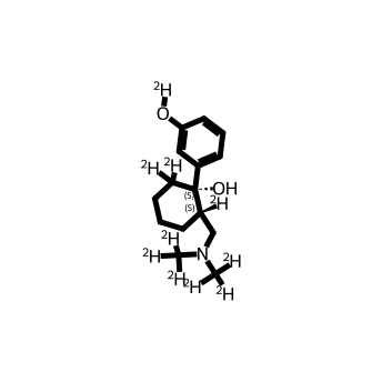 [2H]Oc1cccc([C@]2(O)C([2H])([2H])CCC[C@@]2([2H])CN(C([2H])([2H])[2H])C([2H])([2H])[2H])c1